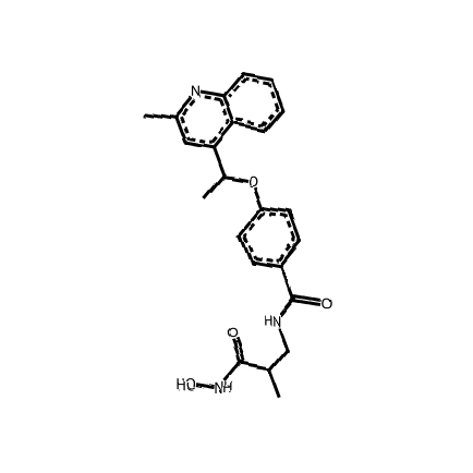 Cc1cc(C(C)Oc2ccc(C(=O)NCC(C)C(=O)NO)cc2)c2ccccc2n1